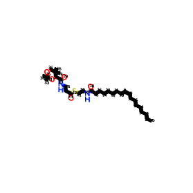 CCCCCCCC/C=C\CCCCCCCC(=O)NCCSC(=O)CCNC(=O)C1OC(C)(C)OCC1(C)C